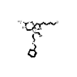 C=CN(CCOCc1ccccc1)[C@@H]1CN[C@@H](C)CC[C@]12CC(CCCCCl)=NO2